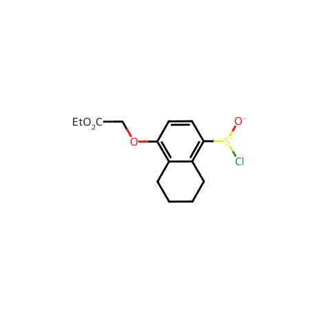 CCOC(=O)COc1ccc([S+]([O-])Cl)c2c1CCCC2